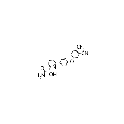 N#Cc1cc(Oc2ccc(-c3cccc(C(O)C(N)=O)n3)cc2)ccc1C(F)(F)F